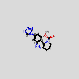 CC(C)(C)OC(=O)N1CCCC=C1c1ccc(-n2cnnn2)cc1N